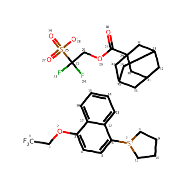 FC(F)(F)COc1ccc([S+]2CCCC2)c2ccccc12.O=C(OCC(F)(F)S(=O)(=O)[O-])C12CC3CC(CC(C3)C1)C2